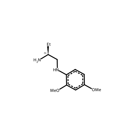 CC[C@H](N)CNc1ccc(OC)cc1OC